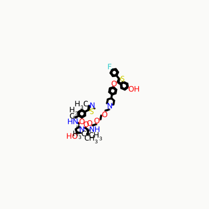 Cc1ncsc1-c1ccc([C@H](C)NC(=O)[C@@H]2C[C@@H](O)CN2C(=O)[C@@H](NC(=O)COCCOCCN2CCC(c3ccc(Oc4c(-c5ccc(F)cc5)sc5cc(O)ccc45)cc3)CC2)C(C)(C)C)cc1